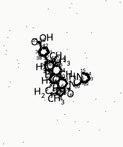 C=C(C)[C@@H]1CC[C@]2(C(=O)NCc3ccccn3)CC[C@]3(C)[C@H](CC[C@@H]4[C@@]5(C)CC=C(c6ccc(C(=O)O)cc6)C(C)(C)[C@@H]5CC[C@]43C)[C@@H]12